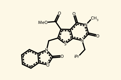 COC(=O)c1c(Cn2c(=O)oc3ccccc32)sc2c1c(=O)n(C)c(=O)n2CC(C)C